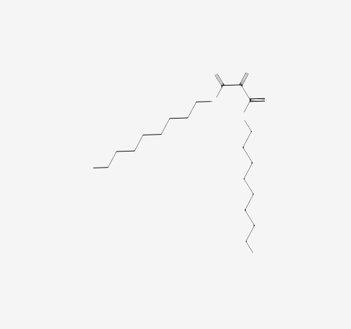 C=C(C(=O)OCCCCCCCCC)C(=O)OCCCCCCCCC